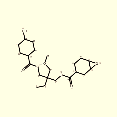 CCC(COC)(COC(=O)C1CCC(O)CC1)COC(=O)C1CCC2OC2C1